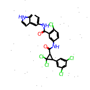 C=c1[nH]cc/c1=C/C(=C\C)NC(=O)c1cc(NC(=O)C2C(c3cc(Cl)cc(Cl)c3)C2(Cl)Cl)ccc1Cl